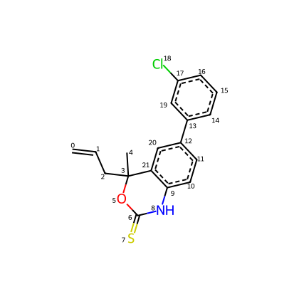 C=CCC1(C)OC(=S)Nc2ccc(-c3cccc(Cl)c3)cc21